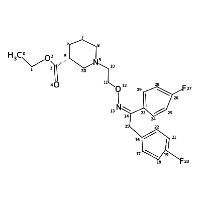 CCOC(=O)[C@@H]1CCCN(CCON=C(Cc2ccc(F)cc2)c2ccc(F)cc2)C1